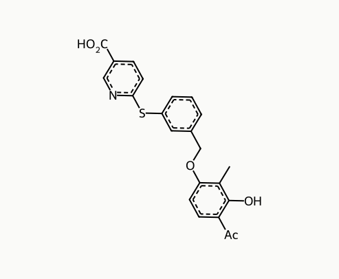 CC(=O)c1ccc(OCc2cccc(Sc3ccc(C(=O)O)cn3)c2)c(C)c1O